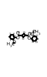 COc1ccccc1OC(=O)C1CC(C(=O)Oc2ccccc2OC)C1